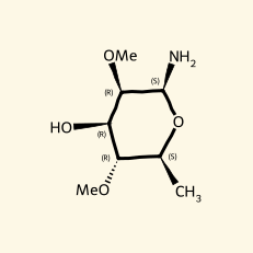 CO[C@@H]1[C@@H](O)[C@@H](OC)[C@@H](N)O[C@H]1C